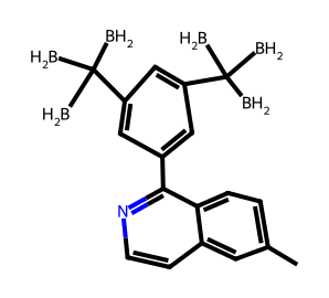 BC(B)(B)c1cc(-c2nccc3cc(C)ccc23)cc(C(B)(B)B)c1